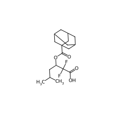 CC(C)CC(OC(=O)C12CC3CC(CC(C3)C1)C2)C(F)(F)C(=O)O